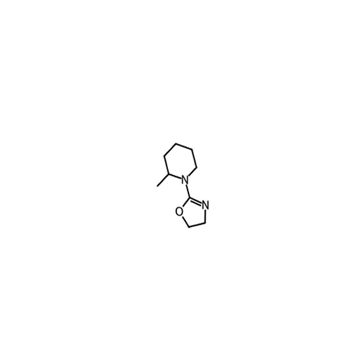 CC1CCCCN1C1=NCCO1